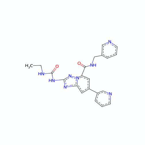 CCNC(=O)Nc1nc2cc(-c3cccnc3)cc(C(=O)NCc3cccnc3)n2n1